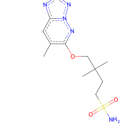 Cc1cc2ncnn2nc1OCC(C)(C)CCS(N)(=O)=O